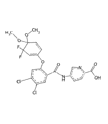 COC1(OC)C=CC(Oc2cc(Cl)c(Cl)cc2C(=O)Nc2ccc(C(=O)O)nc2)=CC1(F)F